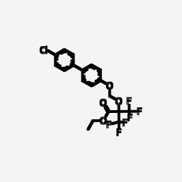 CCOC(=O)C(OCOc1ccc(-c2ccc(Cl)cc2)cc1)(C(F)(F)F)C(F)(F)F